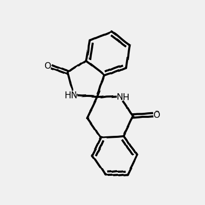 O=C1NC2(Cc3ccccc31)NC(=O)c1ccccc12